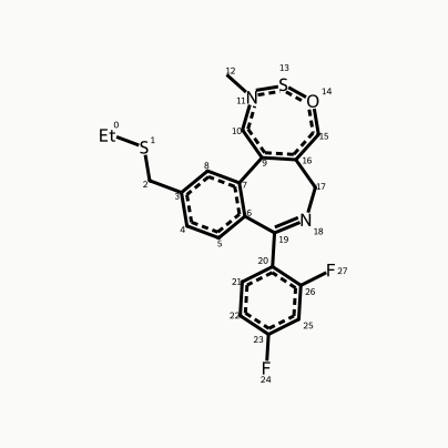 CCSCc1ccc2c(c1)-c1cn(C)socc1CN=C2c1ccc(F)cc1F